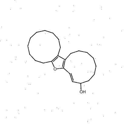 OC1/C=C/c2oc3c(c2CCCCCCC1)CCCCCCCCCC3